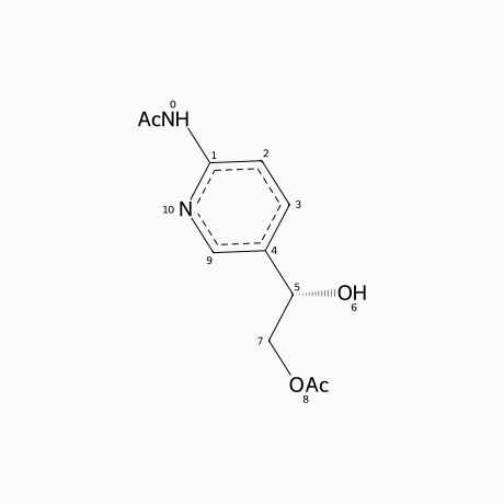 CC(=O)Nc1ccc([C@H](O)COC(C)=O)cn1